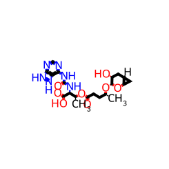 C[C@H](CCC(=O)O[C@H](C)[C@H](NC(=O)Nc1ncnc2[nH][nH]c12)C(=O)O)O[C@H]1OC2C[C@H]2C[C@H]1O